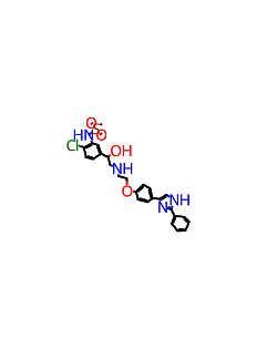 CS(=O)(=O)Nc1cc(C(O)CNCCOc2ccc(-c3c[nH]c(-c4ccccc4)n3)cc2)ccc1Cl